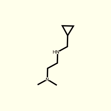 CN(C)CCNCC1CC1